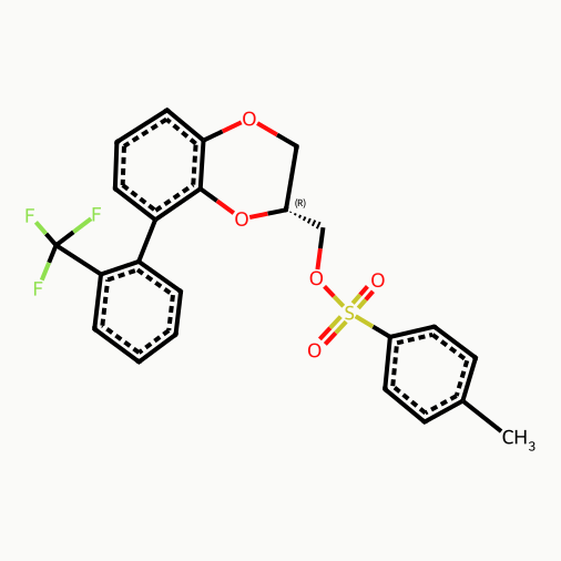 Cc1ccc(S(=O)(=O)OC[C@H]2COc3cccc(-c4ccccc4C(F)(F)F)c3O2)cc1